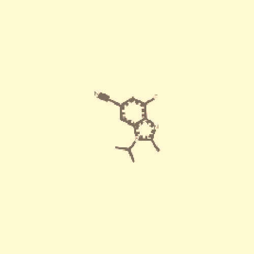 Cc1nc2c(F)cc(C#N)cc2n1C(C)C